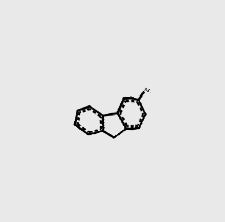 CC(=O)c1ccc2c(c1)-c1ccccc1C2